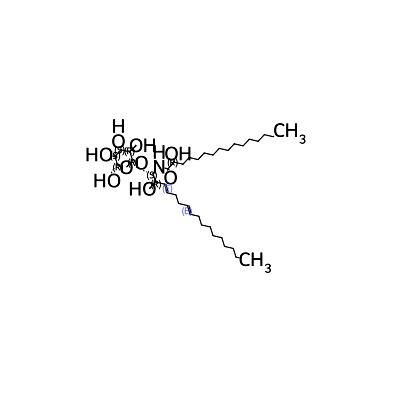 CCCCCCCCC/C=C/CC/C=C/[C@@H](O)[C@H](CO[C@@H]1O[C@H](CO)[C@@H](O)[C@H](O)[C@H]1O)NC(=O)[C@H](O)CCCCCCCCCCCCCC